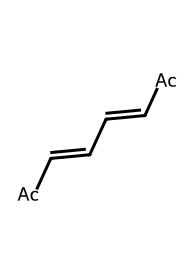 CC(=O)/C=C/C=C/C(C)=O